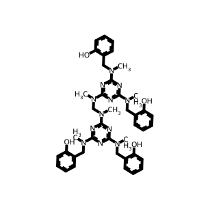 CN(Cc1ccccc1O)c1nc(N(C)Cc2ccccc2O)nc(N(C)CN(C)c2nc(N(C)Cc3ccccc3O)nc(N(C)Cc3ccccc3O)n2)n1